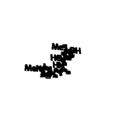 CNc1ccc(N(C)CCC(C)NCC(O)c2ccc(O)c(SC)c2)cc1